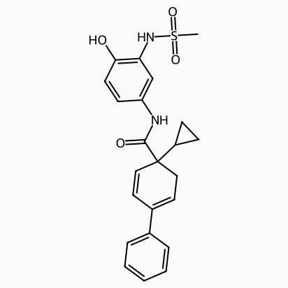 CS(=O)(=O)Nc1cc(NC(=O)C2(C3CC3)C=CC(c3ccccc3)=CC2)ccc1O